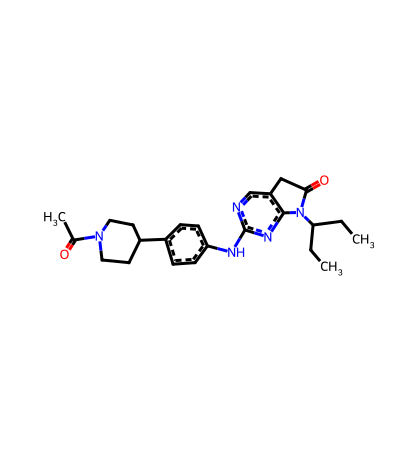 CCC(CC)N1C(=O)Cc2cnc(Nc3ccc(C4CCN(C(C)=O)CC4)cc3)nc21